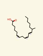 CCCCCC(C)/C=C/C=C\C/C=C\CCCCC(=O)O